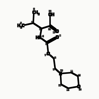 CC(C)C(NC(=O)OCCN1CCOCC1)C(=O)O